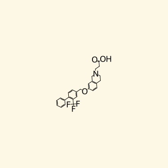 O=C(O)CCN1CCc2ccc(OCc3ccc(-c4ccccc4)c(C(F)(F)F)c3)cc2C1